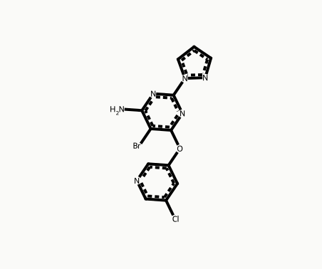 Nc1nc(-n2cccn2)nc(Oc2cncc(Cl)c2)c1Br